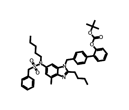 CCCCCN(c1cc(C)c2nc(CCCC)n(Cc3ccc(-c4ccccc4OC(=O)OC(C)(C)C)cc3)c2c1)S(=O)(=O)Cc1ccccc1